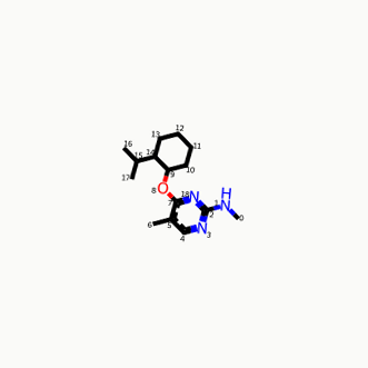 CNc1ncc(C)c(OC2CCCCC2C(C)C)n1